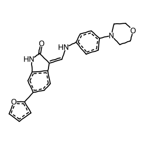 O=C1Nc2cc(-c3ccco3)ccc2C1=CNc1ccc(N2CCOCC2)cc1